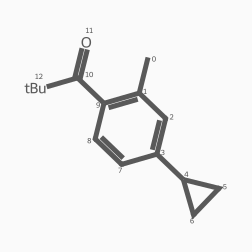 Cc1cc(C2CC2)ccc1C(=O)C(C)(C)C